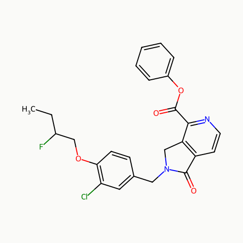 CCC(F)COc1ccc(CN2Cc3c(ccnc3C(=O)Oc3ccccc3)C2=O)cc1Cl